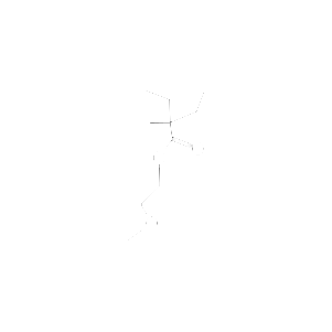 CCC(C)(CC)C(=O)OCCOC